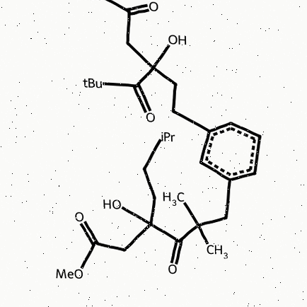 COC(=O)CC(O)(CCc1cccc(CC(C)(C)C(=O)C(O)(CCC(C)C)CC(=O)OC)c1)C(=O)C(C)(C)C